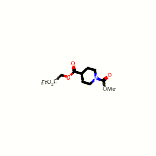 CCOC(=O)COC(=O)C1CCN(C(=O)OC)CC1